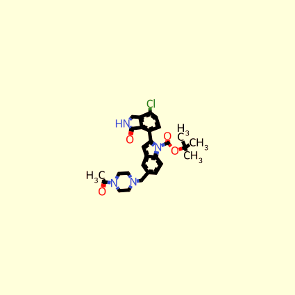 CC(=O)N1CCN(Cc2ccc3c(c2)cc(-c2ccc(Cl)c4c2C(=O)NC4)n3C(=O)OC(C)(C)C)CC1